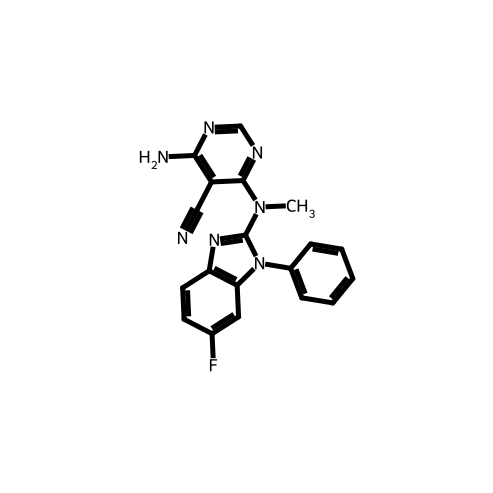 CN(c1ncnc(N)c1C#N)c1nc2ccc(F)cc2n1-c1ccccc1